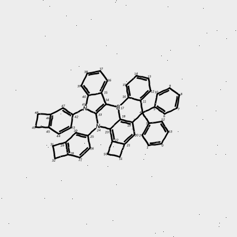 c1ccc(C2(c3ccccc3)c3ccccc3B3c4c2cc2c(c4N(c4ccc5c(c4)CC5)c4c3c3ccccc3n4-c3ccc4c(c3)CC4)CC2)cc1